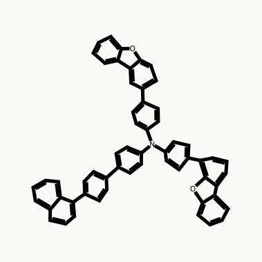 c1ccc2c(-c3ccc(-c4ccc(N(c5ccc(-c6ccc7oc8ccccc8c7c6)cc5)c5ccc(-c6cccc7c6oc6ccccc67)cc5)cc4)cc3)cccc2c1